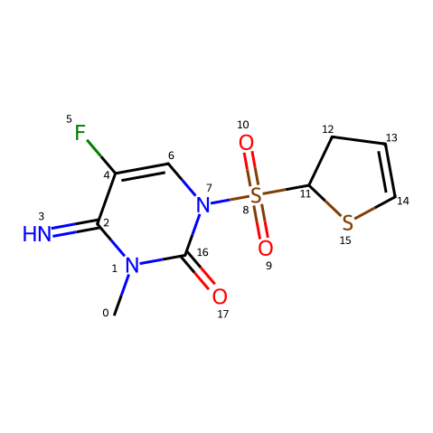 Cn1c(=N)c(F)cn(S(=O)(=O)C2CC=CS2)c1=O